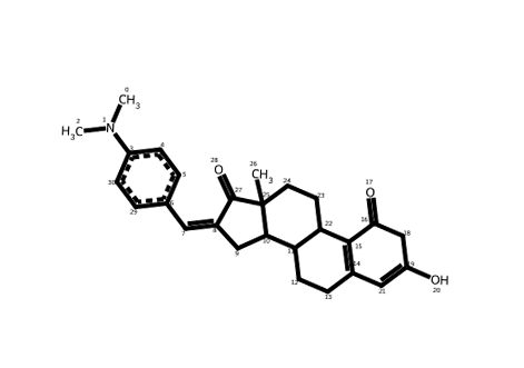 CN(C)c1ccc(C=C2CC3C4CCC5=C(C(=O)CC(O)=C5)C4CCC3(C)C2=O)cc1